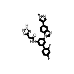 Cn1cc(-c2ccc3c(c2)ncn3-c2cc(NC(=O)Cc3nn[nH]n3)cc(-c3ccc(F)cc3F)c2)cn1